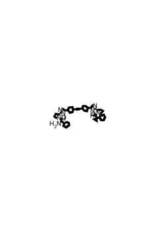 N[C@@H](C(=O)N1CCC[C@H]1c1ncc(-c2ccc(C#Cc3ccc(-c4cnc([C@@H]5CCCN5C(=O)C5(c6ccccc6)CC5)[nH]4)cc3)cc2)[nH]1)c1ccccc1